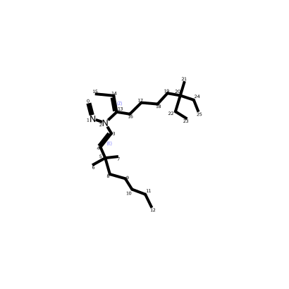 C=NN(/C=C/C(C)(C)CCCCC)/C(=C\C)CCCCC(C)(CC)CC